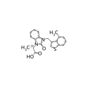 Cc1cccc2scc(Cn3c(=O)n([C@@H](C)C(=O)O)c4ccccc43)c12